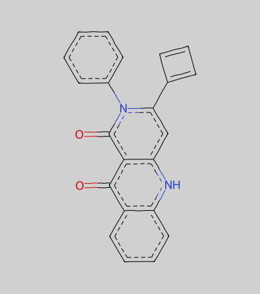 O=c1c2ccccc2[nH]c2cc(C3=CC=C3)n(-c3ccccc3)c(=O)c12